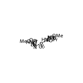 COC(=O)N[C@H](C(=O)N1CCC[C@H]1c1ncc(C#Cc2ccc(C#Cc3cnc([C@@H]4CCCN4C(=O)[C@@H](NC(=O)OC)C(C)C)[nH]3)c3c2CC2(CCCC2)C3=O)[nH]1)C(C)C